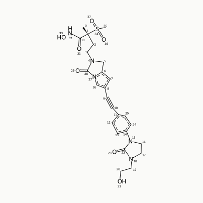 C[C@@](CCN1Cc2cc(C#Cc3ccc(N4CCN(CCO)C4=O)cc3)cn2C1=O)(C(=O)NO)S(C)(=O)=O